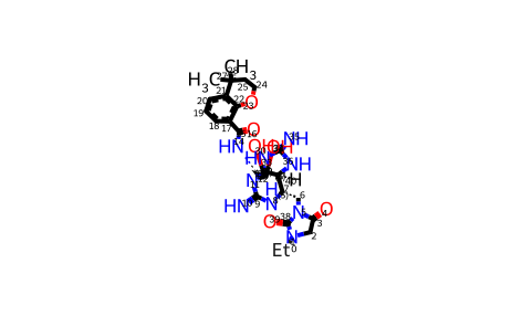 CCN1CC(=O)N(C[C@@H]2NC(=N)N3C[C@H](NC(=O)c4cccc5c4OCCC5(C)C)C(O)(O)[C@@]34NC(=N)N[C@@H]24)C1=O